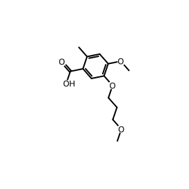 COCCCOc1cc(C(=O)O)c(C)cc1OC